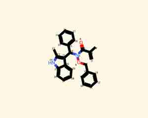 C=C(C)C(=O)N(OCc1ccccc1)C(c1ccccc1)c1c(C)[nH]c2ccccc12